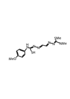 CN/C(=N/N=C/C=N/N=C(\S)Nc1ccc(OC)cc1)SC